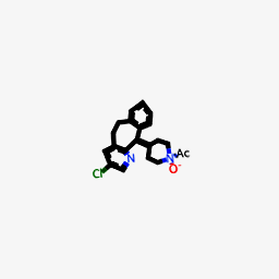 CC(=O)[N+]1([O-])CCC(=C2c3ccccc3CCc3cc(Cl)cnc32)CC1